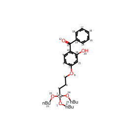 CCCCO[Si](CCCOc1ccc(C(=O)c2ccccc2)c(O)c1)(OCCCC)OCCCC